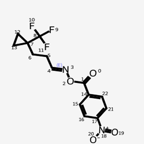 O=C(O/N=C/CCC1(C(F)(F)F)CC1)c1ccc([N+](=O)[O-])cc1